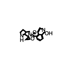 O=S(=O)(c1cccc2c(O)nccc12)N1CC2CCNC2C12CC2